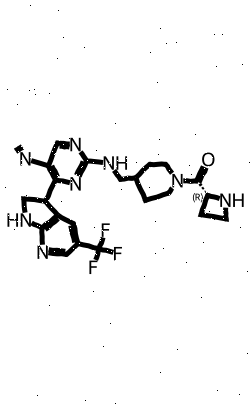 C=Nc1cnc(NCC2CCN(C(=O)[C@H]3CCN3)CC2)nc1C1CNc2ncc(C(F)(F)F)cc21